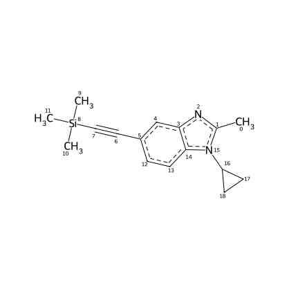 Cc1nc2cc(C#C[Si](C)(C)C)ccc2n1C1CC1